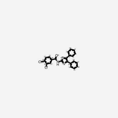 O=C(Nc1nc(-c2ccccc2)c(-c2ccccc2)s1)c1ccc(Cl)c(Cl)c1